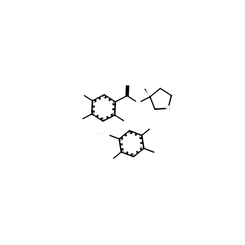 COc1cc(C(=O)N[C@]2(C)CCNC2)c(F)cc1N.COc1cc(C(=O)O)c(F)cc1N